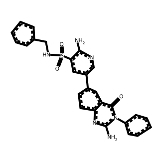 Nc1ncc(-c2ccc3nc(N)n(-c4ccccc4)c(=O)c3c2)cc1S(=O)(=O)NCc1ccccc1